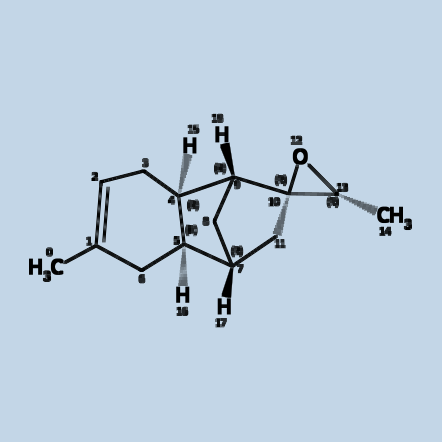 CC1=CC[C@@H]2[C@H](C1)[C@@H]1C[C@H]2[C@@]2(C1)O[C@@H]2C